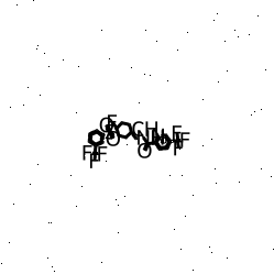 CC1(CNC(=O)c2ccc(C(F)(F)F)cn2)CCC(F)(S(=O)(=O)c2cccc(C(F)(F)F)c2)CC1